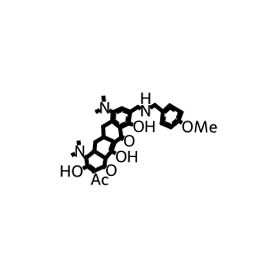 COc1ccc(CNCc2cc(N(C)C)c3c(c2O)C(=O)C2=C(O)C4C(=O)C(C(C)=O)=C(O)C(N(C)C)C4CC2C3)cc1